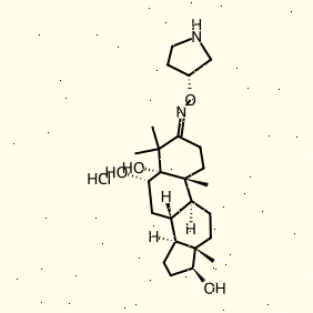 CC1(C)/C(=N/O[C@@H]2CCNC2)CC[C@]2(C)[C@H]3CC[C@]4(C)[C@@H](O)CC[C@H]4[C@@H]3C[C@H](O)[C@@]12O.Cl